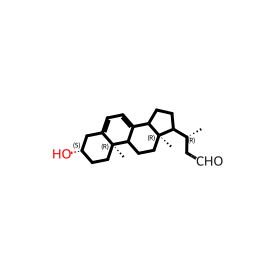 C[C@H](CC=O)C1CCC2C3=CC=C4C[C@@H](O)CC[C@]4(C)C3CC[C@@]21C